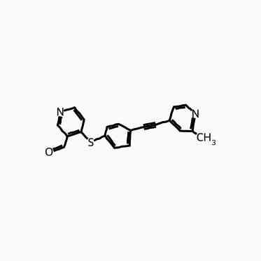 Cc1cc(C#Cc2ccc(Sc3ccncc3C=O)cc2)ccn1